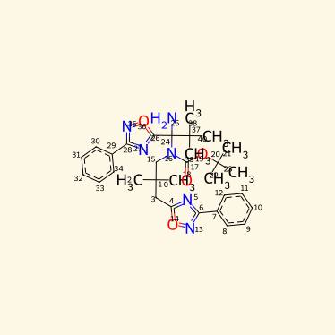 CC(C)(Cc1nc(-c2ccccc2)no1)CN(C(=O)OC(C)(C)C)C(N)(c1nc(-c2ccccc2)no1)C(C)(C)C